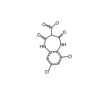 O=C1Nc2cc(Cl)cc(Cl)c2NC(=O)C1[N+](=O)[O-]